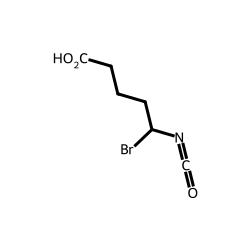 O=C=NC(Br)CCCC(=O)O